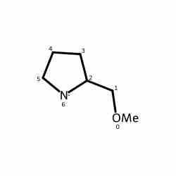 COCC1CCC[N]1